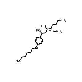 CCCCCCNc1ccc(C(O)CC(O)[C@@H](CN)CCCC)cc1